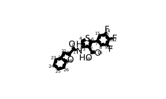 O=C(Nc1csc(-c2cc(F)c(F)c(F)c2)c1C(=O)O)c1cc2ccccc2o1